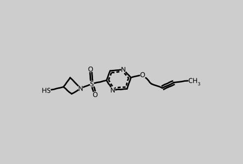 CC#CCOc1cnc(S(=O)(=O)N2CC(S)C2)cn1